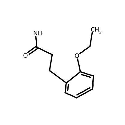 CCOc1ccccc1CCC([NH])=O